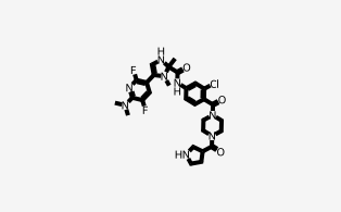 CN(C)c1nc(F)c(C2=CNC(C)(C(=O)Nc3ccc(C(=O)N4CCN(C(=O)C5CCNC5)CC4)c(Cl)c3)N2C)cc1F